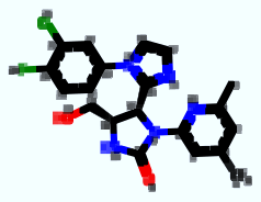 Cc1cc(C(F)(F)F)cc(N2C(=O)N[C@@H](CO)[C@H]2c2nccn2-c2ccc(F)c(Cl)c2)n1